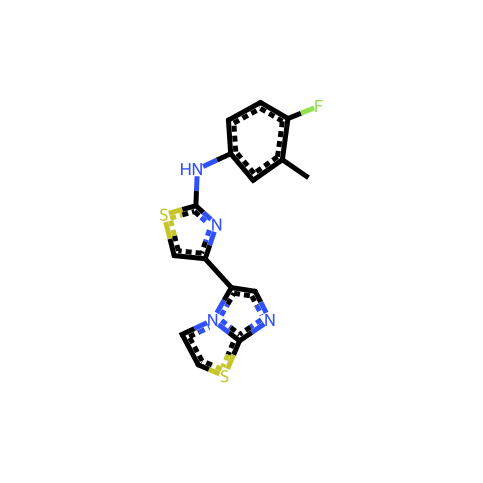 Cc1cc(Nc2nc(-c3cnc4sccn34)cs2)ccc1F